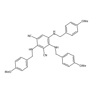 COc1ccc(CNc2cc(C#N)c(NCc3ccc(OC)cc3)c(C#N)c2NCc2ccc(OC)cc2)cc1